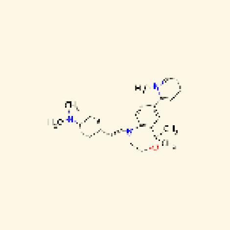 CN(C)C1CC=C(/C=C/N2CCOC(C)(C)c3cc(C4=CCCC=[N+]4C)ccc32)CC1